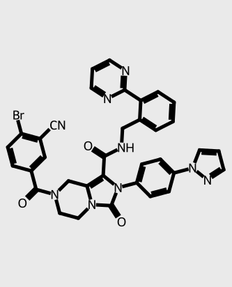 N#Cc1cc(C(=O)N2CCn3c(c(C(=O)NCc4ccccc4-c4ncccn4)n(-c4ccc(-n5cccn5)cc4)c3=O)C2)ccc1Br